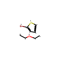 Brc1cccs1.CCOCC